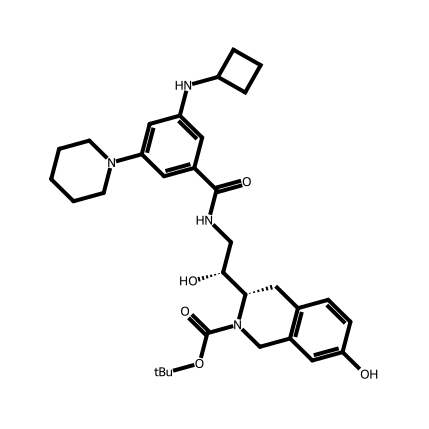 CC(C)(C)OC(=O)N1Cc2cc(O)ccc2C[C@H]1[C@H](O)CNC(=O)c1cc(NC2CCC2)cc(N2CCCCC2)c1